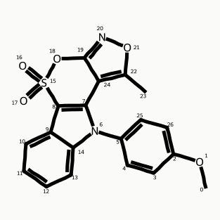 COc1ccc(-n2c3c(c4ccccc42)S(=O)(=O)Oc2noc(C)c2-3)cc1